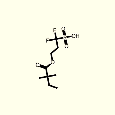 CCC(C)(C)C(=O)OCCC(F)(F)S(=O)(=O)O